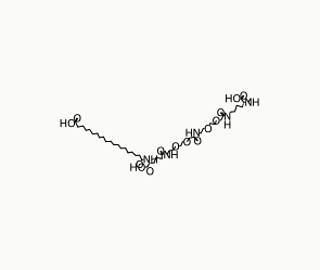 CN[C@@H](CCCCNC(=O)COCCOCCNC(=O)COCCOCCNC(=O)CCC[C@H](NC(=O)CCCCCCCCCCCCCCCCCCC(=O)O)C(=O)O)C(=O)O